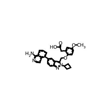 COc1ccc(OCc2c3cc(-c4cccc5c(N)nccc45)ccc3nn2C2CCC2)c(CC(=O)O)c1